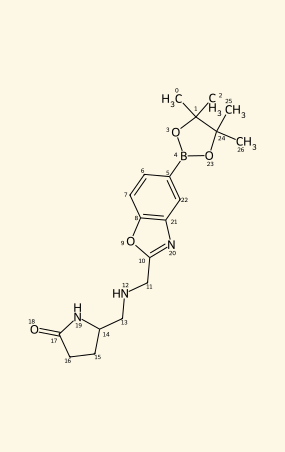 CC1(C)OB(c2ccc3oc(CNCC4CCC(=O)N4)nc3c2)OC1(C)C